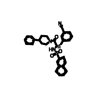 N#Cc1cccc(C[C@H](NS(=O)(=O)c2ccc3ccccc3c2)C(=O)N2CCC(c3ccccc3)CC2)c1